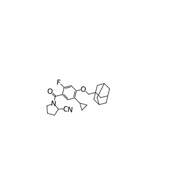 N#CC1CCCN1C(=O)c1cc(C2CC2)c(OCC23CC4CC(CC(C4)C2)C3)cc1F